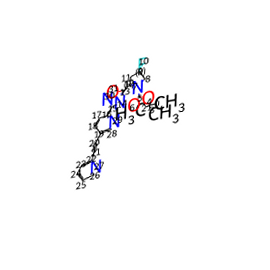 CC(C)(C)OC(=O)N1C[C@H](F)C[C@@H]1c1nc(-c2ccc(C#Cc3ccccn3)cn2)no1